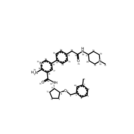 Cc1cccc(CO[C@H]2CCC[C@@H]2NC(=O)c2cc(-c3ccc(CC(=O)NC4CCN(C)CC4)cc3)cnc2N)c1